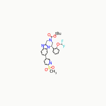 CC(C)(C)OC(=O)N1Cc2nc3ccc(-c4ccc(S(C)(=O)=O)nc4)cc3n2[C@H](c2ccccc2OC(F)F)C1